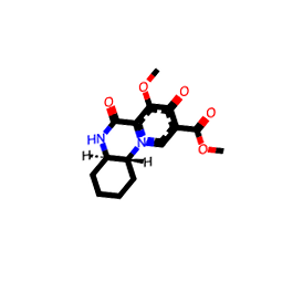 COC(=O)c1cn2c(c(OC)c1=O)C(=O)N[C@@H]1CCCC[C@H]12